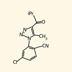 Cc1c(C(=O)C(C)C)nnn1-c1cc(Cl)ccc1C#N